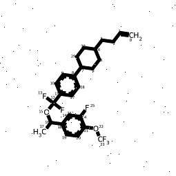 C=CCCC1CCC(c2ccc(C(F)(F)OC(C)c3ccc(OC(F)(F)F)c(F)c3)cc2)CC1